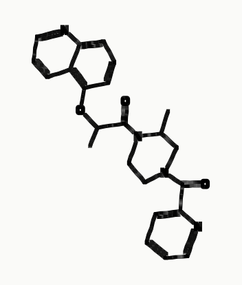 CC(Oc1cccc2ncccc12)C(=O)N1CCN(C(=O)c2ccccn2)CC1C